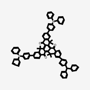 CC1(C)c2cc(-c3ccc(C(c4ccccc4)c4ccccc4)cc3)ccc2C(=O)c2c1c1c(c3c2C(C)(C)c2cc(-c4ccc(N(c5ccccc5)c5ccccc5)cc4)ccc2C3=O)C(C)(C)c2cc(-c3ccc(N(c4ccccc4)c4ccccc4)cc3)ccc2C1=O